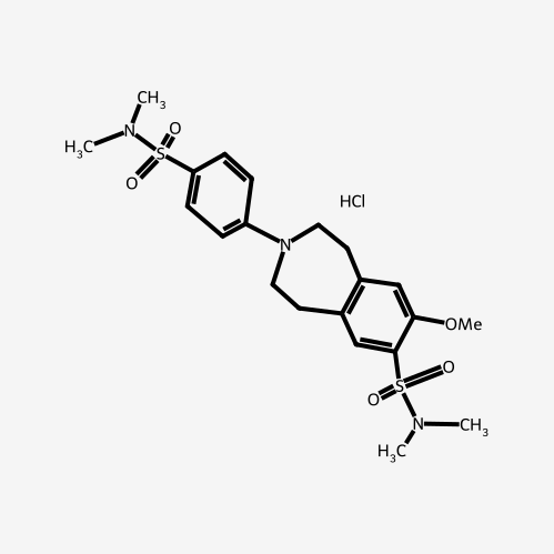 COc1cc2c(cc1S(=O)(=O)N(C)C)CCN(c1ccc(S(=O)(=O)N(C)C)cc1)CC2.Cl